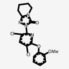 COc1ccccc1Oc1nc(-n2nc3n(c2=O)CCCC3)c(Cl)cc1Cl